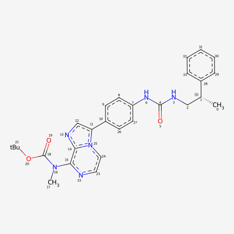 C[C@H](CNC(=O)Nc1ccc(-c2cnc3c(N(C)C(=O)OC(C)(C)C)nccn23)cc1)c1ccccc1